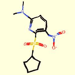 CN(C)c1ccc([N+](=O)[O-])c(S(=O)(=O)C2CCCC2)n1